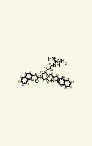 C[C@H]1CN(C(=O)Cc2ccc3ccccc3c2)C[C@H](CCCNC(=N)N)N1C[C@@H](N)Cc1ccc2ccccc2c1